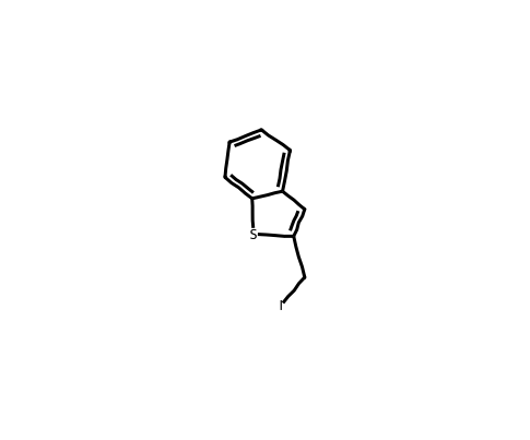 ICc1cc2ccccc2s1